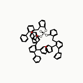 O=P(Oc1ccccc1Cc1cccc(-c2ccccc2)c1-c1ccccc1)(Oc1ccccc1Cc1cccc(-c2ccccc2)c1-c1ccccc1)Oc1ccccc1Cc1cccc(-c2ccccc2)c1-c1ccccc1